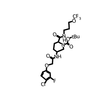 CC(C)(C)OC(=O)N1CC(NC(=O)COc2ccc(Cl)c(F)c2)CCC1C(=O)NCCCOC(F)(F)F